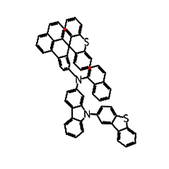 c1ccc2c(c1)Sc1ccccc1C21c2cc(N(c3ccc4c5ccccc5n(-c5ccc6sc7ccccc7c6c5)c4c3)c3cccc4ccccc34)ccc2-c2cccc3cccc1c23